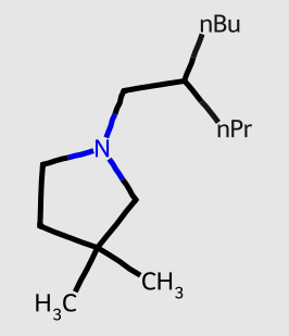 CCCCC(CCC)CN1CCC(C)(C)C1